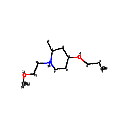 CC1CC(OCCC(C)(C)C)CCN1CCOC(C)(C)C